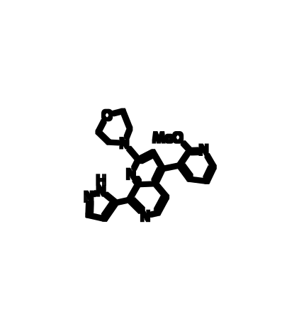 COc1ncccc1-c1cc(N2CCOCC2)nc2c(-c3ccn[nH]3)nccc12